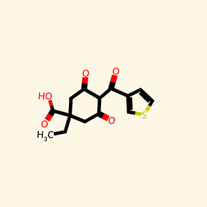 CCC1(C(=O)O)CC(=O)C(C(=O)c2ccsc2)C(=O)C1